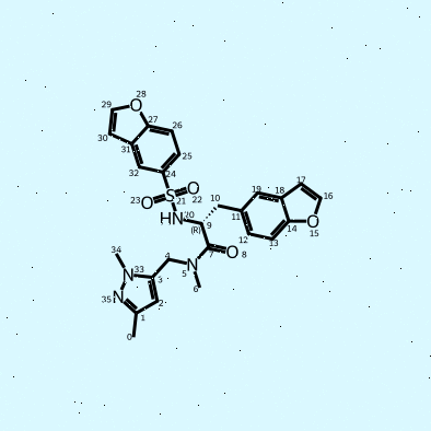 Cc1cc(CN(C)C(=O)[C@@H](Cc2ccc3occc3c2)NS(=O)(=O)c2ccc3occc3c2)n(C)n1